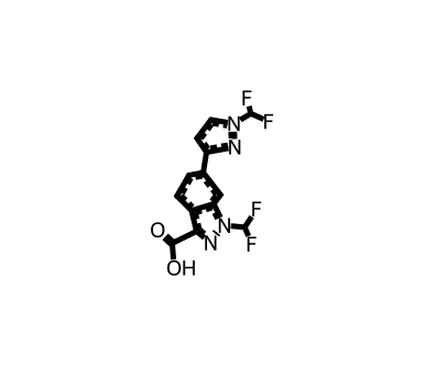 O=C(O)c1nn(C(F)F)c2cc(-c3ccn(C(F)F)n3)ccc12